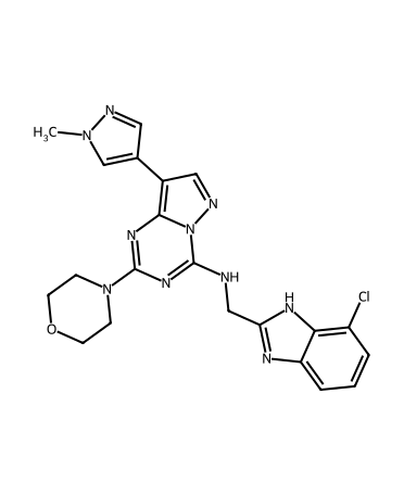 Cn1cc(-c2cnn3c(NCc4nc5cccc(Cl)c5[nH]4)nc(N4CCOCC4)nc23)cn1